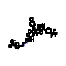 CC1(C)C(N(O)C(=O)Nc2ccc(C(F)(F)F)cc2)N(c2ccc(Cl)cc2)C(=O)N1CC(=O)N/N=C/C=C/c1ccc([N+](=O)[O-])o1